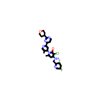 Cc1cnc(-c2ccnc(C3CCOCC3)n2)cc1-n1c(C)cc(NCc2ncc(F)cc2F)c(Cl)c1=O